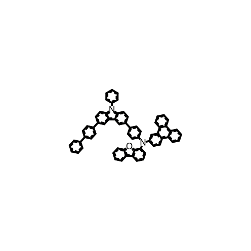 c1ccc(-c2ccc(-c3ccc4c(c3)c3cc(-c5ccc(N(c6ccc7c8ccccc8c8ccccc8c7c6)c6cccc7c6oc6ccccc67)cc5)ccc3n4-c3ccccc3)cc2)cc1